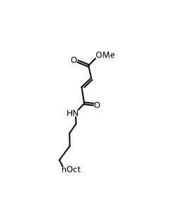 CCCCCCCCCCCCNC(=O)C=CC(=O)OC